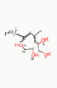 CC(=CC(O)CO)C=C(C)C(=O)O.OCCO